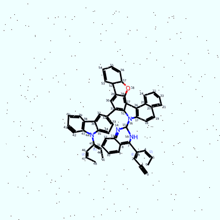 C#C/C=C(\C=C/C)C1=c2ccccc2=NC(n2c3ccc4ccccc4c3c3c4c(cc(-c5ccc6c(c5)c5ccc#cc5n6C(/C=C\C)=C/C)c32)C2C=CC=CC2O4)N1